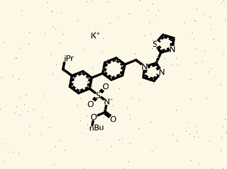 CCCCOC(=O)[N-]S(=O)(=O)c1ccc(CC(C)C)cc1-c1ccc(Cn2ccnc2-c2nccs2)cc1.[K+]